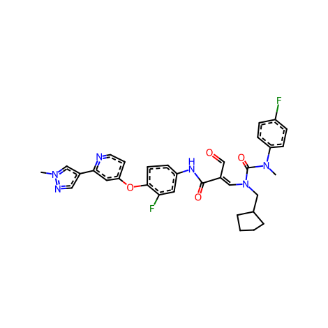 CN(C(=O)N(/C=C(\C=O)C(=O)Nc1ccc(Oc2ccnc(-c3cnn(C)c3)c2)c(F)c1)CC1CCCC1)c1ccc(F)cc1